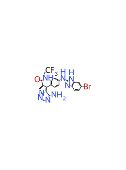 Nc1ncnn2cc(C(=O)NCC(F)(F)F)c(-c3ccc(Nc4nc5ccc(Br)cc5[nH]4)cc3)c12